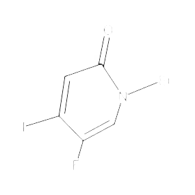 CCn1cc(F)c(I)cc1=O